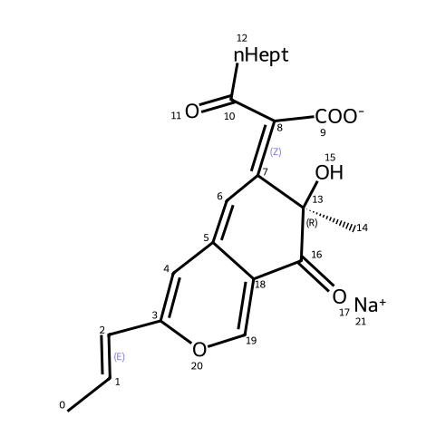 C/C=C/C1=CC2=C/C(=C(/C(=O)[O-])C(=O)CCCCCCC)[C@@](C)(O)C(=O)C2=CO1.[Na+]